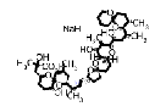 C=C1[C@@H](O)[C@@H]2O[C@]3(CC[C@H](/C=C/[C@@H](C)[C@@H]4CC(C)=C[C@@]5(O[C@H](C[C@@](C)(O)C(=O)O)CC[C@H]5O)O4)O3)CC[C@H]2O[C@@H]1[C@@H](O)C[C@H](C)[C@H]1O[C@@]2(CCCCO2)CC[C@H]1C.[NaH]